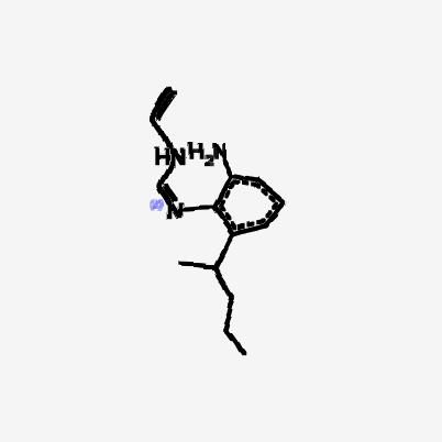 C=CN/C=N\c1c(N)cccc1C(C)CCC